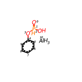 O=[PH](O)Oc1ccccc1.[AlH3]